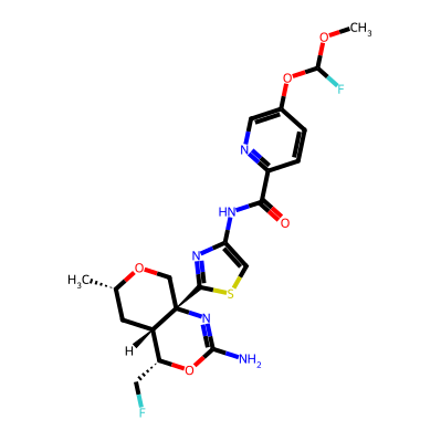 COC(F)Oc1ccc(C(=O)Nc2csc([C@]34CO[C@@H](C)C[C@H]3[C@@H](CF)OC(N)=N4)n2)nc1